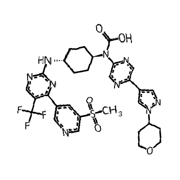 CS(=O)(=O)c1cncc(-c2nc(N[C@H]3CC[C@H](N(C(=O)O)c4cnc(-c5cnn(C6CCOCC6)c5)cn4)CC3)ncc2C(F)(F)F)c1